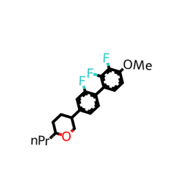 CCCC1CCC(c2ccc(-c3ccc(OC)c(F)c3F)c(F)c2)CO1